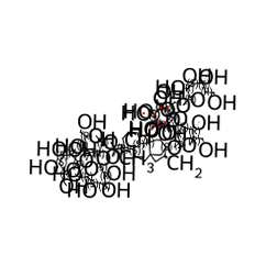 C=C1CC23CC[C@H]4[C@@](C)(CCC[C@@]4(C)C(=O)O[C@@H]4O[C@H](CO)[C@@H](O)[C@H](O[C@@H]5O[C@H](CO)[C@@H](O)[C@H](O)[C@H]5O)[C@H]4O[C@@H]4O[C@H](CO)[C@@H](O)[C@H](O)[C@H]4O)[C@@H]2CC[C@]1(O[C@@H]1O[C@H](CO)[C@@H](O)[C@H](O[C@@H]2O[C@H](CO)[C@@H](O)[C@H](O)[C@H]2O)[C@H]1O[C@@H]1O[C@H](CO[C@@H]2O[C@H](CO)[C@@H](O)[C@H](O)[C@H]2O)[C@@H](O)[C@H](O)[C@H]1O)C3